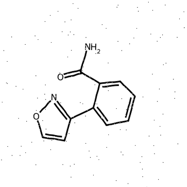 NC(=O)c1ccccc1-c1ccon1